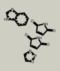 O=C1C=CC(=O)N1.O=C1C=CC(=O)N1.c1ccc2[nH]cnc2c1.c1conn1